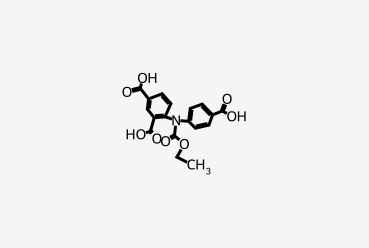 CCOC(=O)N(c1ccc(C(=O)O)cc1)c1ccc(C(=O)O)cc1C(=O)O